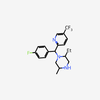 CCC1CNC(C)CN1C(c1ccc(F)cc1)c1ccc(C(F)(F)F)cn1